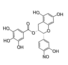 O=Nc1ccc([C@H]2Oc3cc(O)cc(O)c3C[C@H]2OC(=O)c2cc(O)c(O)c(O)c2)cc1O